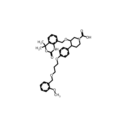 COc1ccccc1COCCCOc1ccc(C2CCN(C(=O)O)CC2OCc2cccc3c2NC(=O)OC3(C)C)cc1